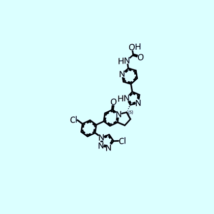 O=C(O)Nc1ccc(-c2cnc([C@@H]3CCc4cc(-c5cc(Cl)ccc5-n5cc(Cl)nn5)cc(=O)n43)[nH]2)cn1